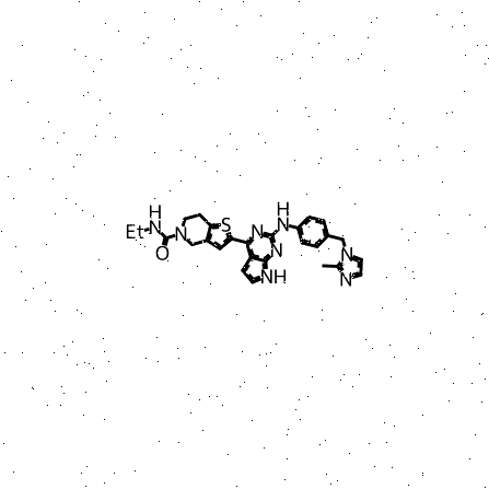 CCNC(=O)N1CCc2sc(-c3nc(Nc4ccc(Cn5ccnc5C)cc4)nc4[nH]ccc34)cc2C1